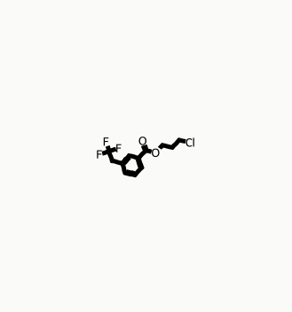 O=C(OCCCCl)c1cccc(CC(F)(F)F)c1